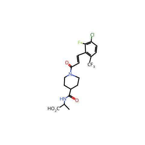 CC(NC(=O)C1CCN(C(=O)C=Cc2c(C(F)(F)F)ccc(Cl)c2F)CC1)C(=O)O